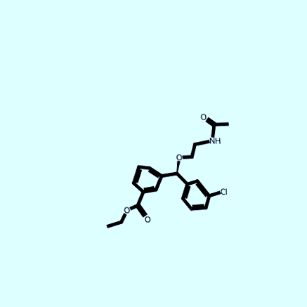 CCOC(=O)c1cccc([C@@H](OCCNC(C)=O)c2cccc(Cl)c2)c1